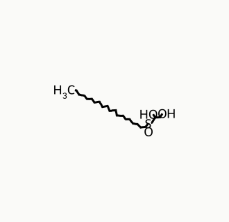 CCCCCCCCCCCCCCCCCCCC(=O)SCC(O)CO